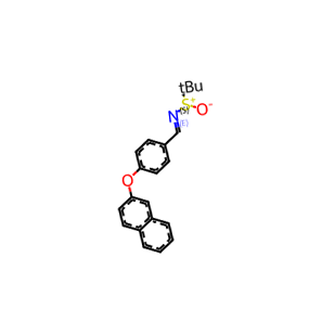 CC(C)(C)[S@@+]([O-])/N=C/c1ccc(Oc2ccc3ccccc3c2)cc1